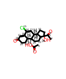 CC(=O)O.CC(=O)[C@@]1(O)CC[C@H]2[C@@H]3C=C(Cl)C4=CC(=O)CC[C@@H]4[C@H]3CC[C@@]21C